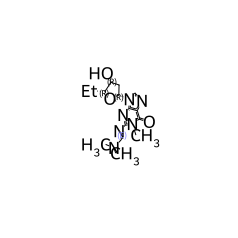 CC[C@H]1O[C@@H](n2cnc3c(=O)n(C)c(/N=C/N(C)C)nc32)C[C@H]1O